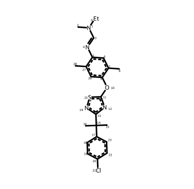 CCN(C)C=Nc1cc(C)c(Oc2nc(C(C)(C)c3ccc(Cl)cc3)ns2)cc1C